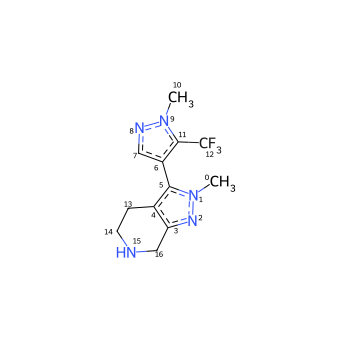 Cn1nc2c(c1-c1cnn(C)c1C(F)(F)F)CCNC2